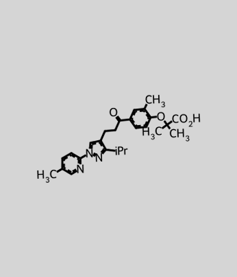 Cc1ccc(-n2cc(CCC(=O)c3ccc(OC(C)(C)C(=O)O)c(C)c3)c(C(C)C)n2)nc1